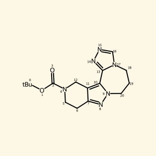 CC(C)(C)OC(=O)N1CCc2nn3c(c2C1)-c1nncn1CCC3